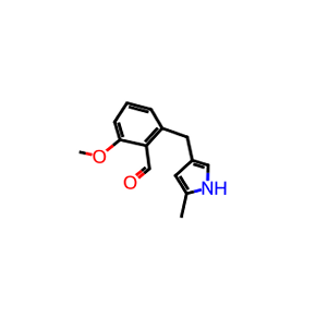 COc1cccc(Cc2c[nH]c(C)c2)c1C=O